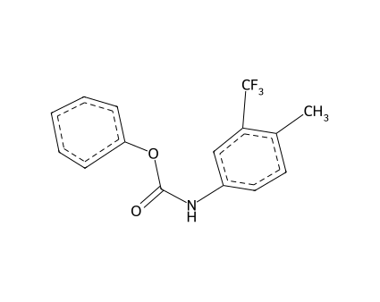 Cc1ccc(NC(=O)Oc2ccccc2)cc1C(F)(F)F